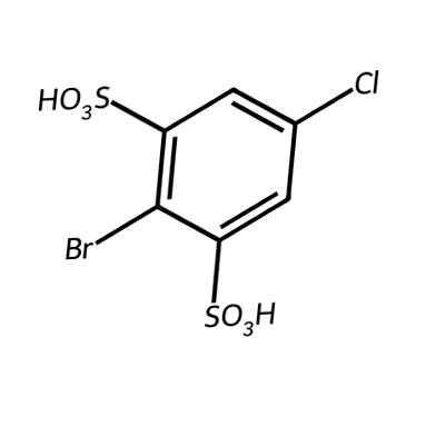 O=S(=O)(O)c1cc(Cl)cc(S(=O)(=O)O)c1Br